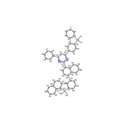 CC1(C)c2ccccc2-c2cc(-c3cc(-c4ccccc4)nc(-c4ccc(-c5cccc6c5-c5ccc7ccccc7c5C6(C)C)c5ccccc45)n3)ccc21